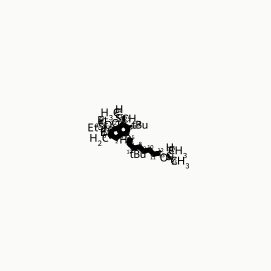 C=C1C[C@H]2[C@@H](C=C[C@H](CCCCCO[SiH](C)C)C(C)(C)C)[C@H](C(C)(C)C)C[C@@]2(O[SiH](C)C)C1O[Si](CC)(CC)CC